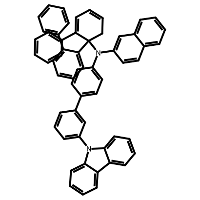 C1=CCC(c2ccccc2-c2ccccc2)(N(c2ccc(-c3cccc(-n4c5ccccc5c5ccccc54)c3)cc2)c2ccc3ccccc3c2)C(c2ccccc2)=C1